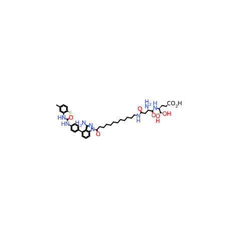 Cc1ccc(F)c(NC(=O)Nc2ccc(-c3cccc4c3c(N)nn4C(=O)CCCCCCCCCCCNC(=O)C[C@H](N)C(=O)N[C@@H](CCC(=O)O)C(O)O)cc2)c1